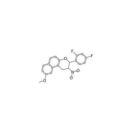 COc1ccc2ccc3c(c2c1)CC([N+](=O)[O-])C(c1ccc(F)cc1F)O3